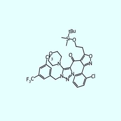 CC(C)(C)[Si](C)(C)OCCc1onc(-c2ccccc2Cl)c1C(=O)c1nnn(Cc2cc(C(F)(F)F)cc(C(F)(F)F)c2)c1N1CCOCC1